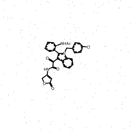 CC(=O)Nc1ccccc1-c1c(C(=O)C(=O)NC2=CC(=O)OC2)c2ccccc2n1Cc1ccc(Cl)cc1